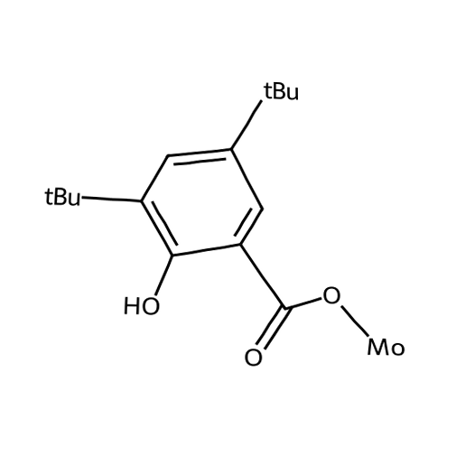 CC(C)(C)c1cc(C(=O)[O][Mo])c(O)c(C(C)(C)C)c1